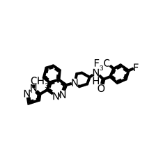 Cn1nccc1-c1nnc(N2CCC(NC(=O)c3ccc(F)cc3C(F)(F)F)CC2)c2ccccc12